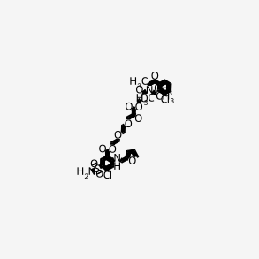 CC(C(=O)c1cccc(Cl)c1)N(C(=O)OCOC(=O)C(=O)COCCOCCOC(=O)c1cc(S(N)(=O)=O)c(Cl)cc1NCc1ccco1)C(C)(C)C